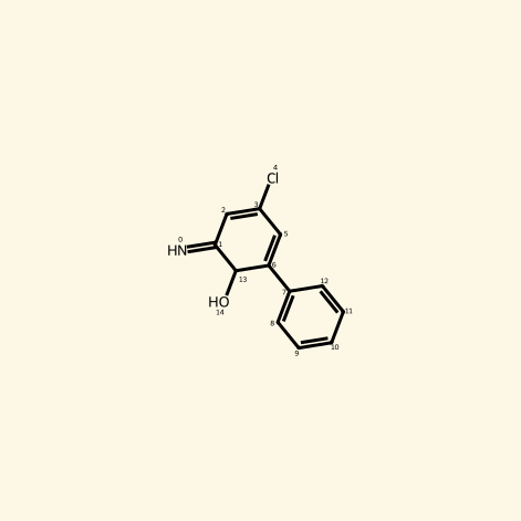 N=C1C=C(Cl)C=C(c2ccccc2)C1O